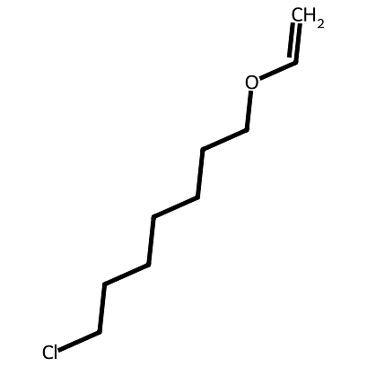 C=COCCCCCCCCl